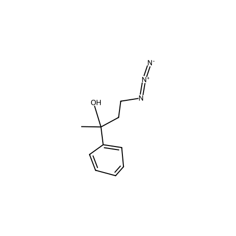 CC(O)(CCN=[N+]=[N-])c1ccccc1